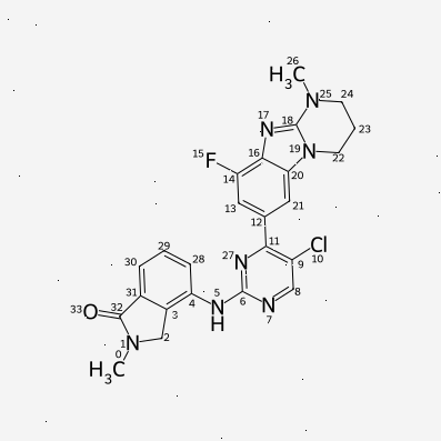 CN1Cc2c(Nc3ncc(Cl)c(-c4cc(F)c5nc6n(c5c4)CCCN6C)n3)cccc2C1=O